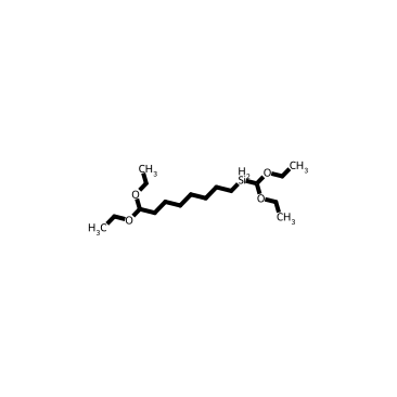 CCOC(CCCCCCC[SiH2]C(OCC)OCC)OCC